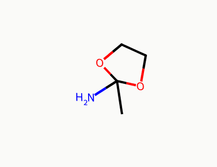 CC1(N)OCCO1